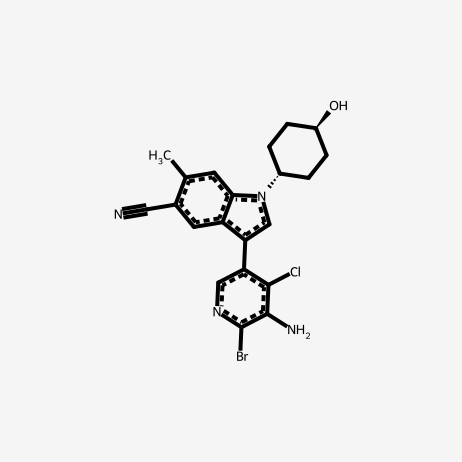 Cc1cc2c(cc1C#N)c(-c1cnc(Br)c(N)c1Cl)cn2[C@H]1CC[C@H](O)CC1